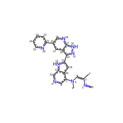 C=N/C(C)=C\N(C)c1cncc2[nH]c(-c3n[nH]c4ncc(-c5ccccn5)cc34)cc12